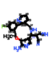 C[C@H]1Oc2cc(cnc2N)/C(=C(\C#N)C=N)NCc2cccnc2-c2ccc(F)cc21